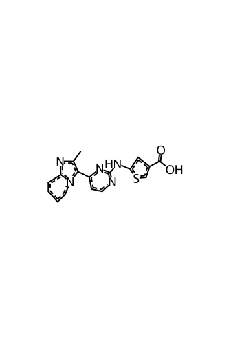 Cc1nc2ccccn2c1-c1ccnc(Nc2cc(C(=O)O)cs2)n1